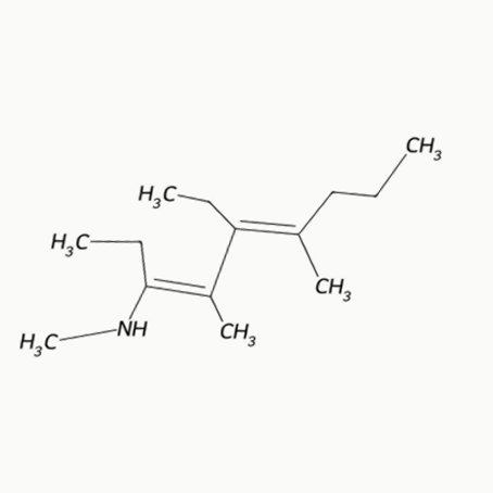 CCC/C(C)=C(CC)/C(C)=C(\CC)NC